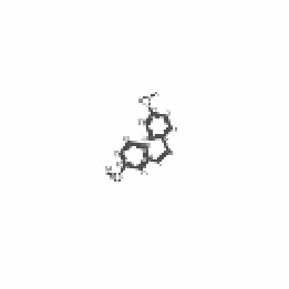 COc1ccc(/C=C\c2cccc(OC)c2)cc1